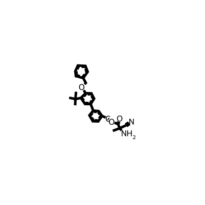 CC(N)(C#N)C(=O)OCc1cccc(-c2ccc(OCc3ccccc3)c(C(C)(C)C)c2)c1